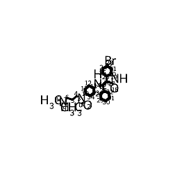 CC(=O)N(CCCN(C)C)c1ccc(NC(=C2C(=O)Nc3cc(Br)ccc32)c2ccccc2)cc1